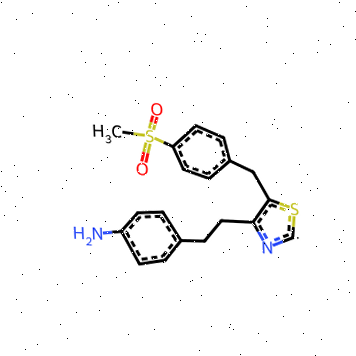 CS(=O)(=O)c1ccc(Cc2s[c]nc2CCc2ccc(N)cc2)cc1